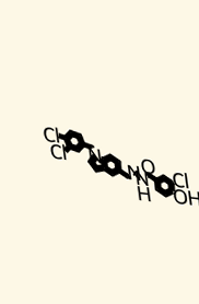 O=C(N/N=C/c1ccc2c(ccn2Cc2ccc(Cl)c(Cl)c2)c1)c1ccc(O)c(Cl)c1